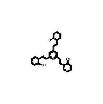 Oc1ccccc1C=Cc1cc(C=Cc2ccccc2O)nc(C=Cc2ccccc2O)c1